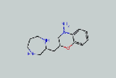 NN1CC(CC2CNCCCN2)Oc2ccccc21